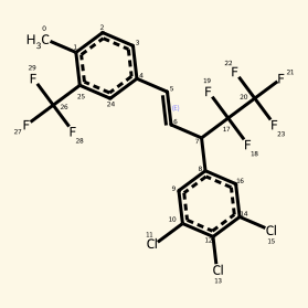 Cc1ccc(/C=C/C(c2cc(Cl)c(Cl)c(Cl)c2)C(F)(F)C(F)(F)F)cc1C(F)(F)F